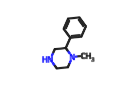 CN1CCNCC1c1ccccc1